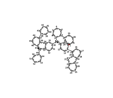 c1ccc(-c2ccccc2N(c2ccc(-c3cccc4c3sc3ccccc34)cc2)c2ccc3c(c2)c2c(-c4ccccc4)cccc2n3-c2ccccc2)cc1